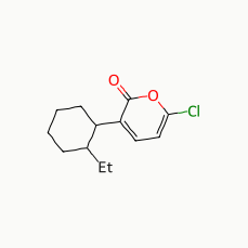 CCC1CCCCC1c1ccc(Cl)oc1=O